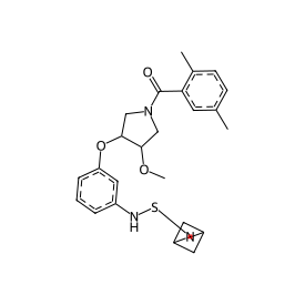 COC1CN(C(=O)c2cc(C)ccc2C)CC1Oc1cccc(NSN2CC3CC2C3)c1